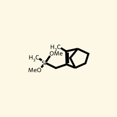 CO[Si](C)(CC1=C(C)C2CCC1C2)OC